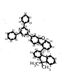 CC1(C)c2ccccc2-c2c(-c3cccc4oc5cc(-c6nc(-c7ccccc7)nc(-c7ccccc7)n6)ccc5c34)cccc21